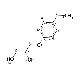 CCc1cnc(OCC(O)CO)cn1